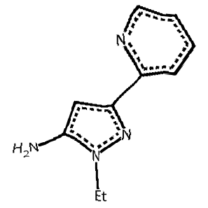 CCn1nc(-c2ccccn2)cc1N